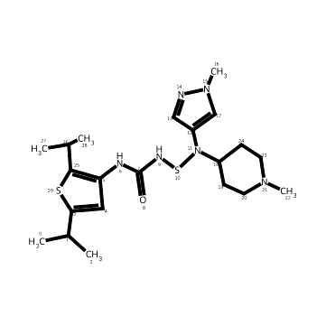 CC(C)c1cc(NC(=O)NSN(c2cnn(C)c2)C2CCN(C)CC2)c(C(C)C)s1